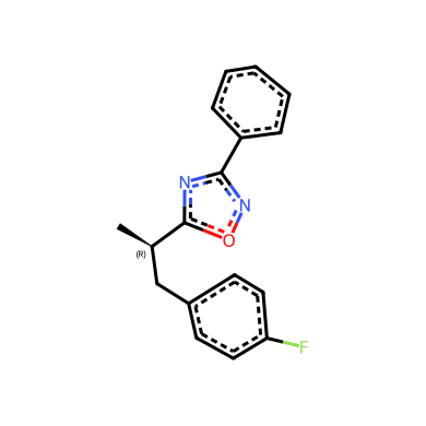 C[C@H](Cc1ccc(F)cc1)c1nc(-c2ccccc2)no1